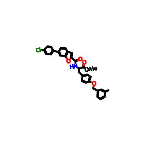 COC(=O)C(Cc1ccc(OCc2cccc(C)c2)cc1)NC(=O)c1cc2ccc(-c3ccc(Cl)cc3)cc2o1